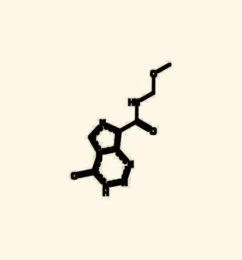 COCNC(=O)c1ncn2c(=O)[nH]nnc12